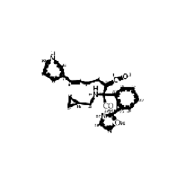 O=C=C(CCC=Cc1cccnc1)C(NCC1CC1)(C(=O)O)c1ccccc1-c1ncco1